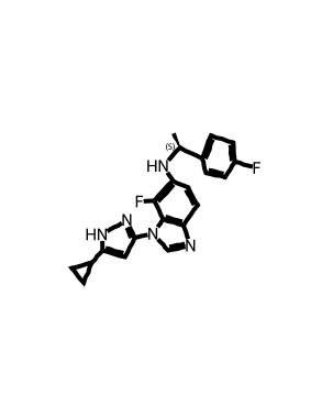 C[C@H](Nc1ccc2ncn(-c3cc(C4CC4)[nH]n3)c2c1F)c1ccc(F)cc1